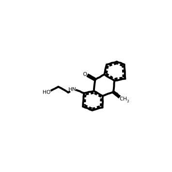 C=C1c2ccccc2C(=O)c2c(NCCO)cccc21